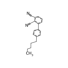 CCCCCc1ccc(-c2cccc(C#N)c2C#N)cc1